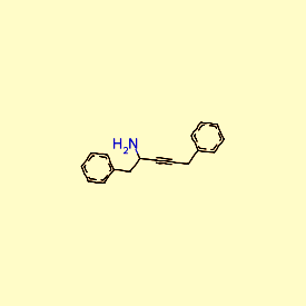 NC(C#CCc1ccccc1)Cc1ccccc1